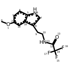 COc1ccc2[nH]cc(CCNC(=O)C(F)(F)F)c2c1